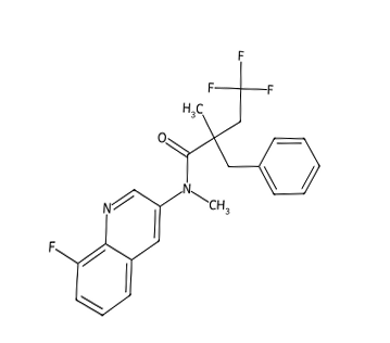 CN(C(=O)C(C)(Cc1ccccc1)CC(F)(F)F)c1cnc2c(F)cccc2c1